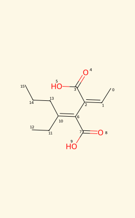 CC=C(C(=O)O)C(C(=O)O)=C(CC)CCC